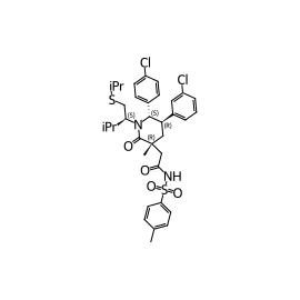 Cc1ccc(S(=O)(=O)NC(=O)C[C@@]2(C)C[C@H](c3cccc(Cl)c3)[C@@H](c3ccc(Cl)cc3)N([C@H](CSC(C)C)C(C)C)C2=O)cc1